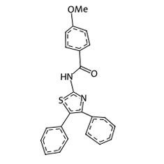 COc1ccc(C(=O)Nc2nc(-c3ccccc3)c(-c3ccccc3)s2)cc1